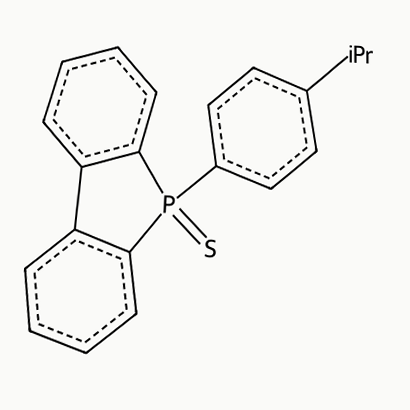 CC(C)c1ccc(P2(=S)c3ccccc3-c3ccccc32)cc1